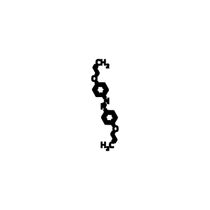 C=CCOc1ccc(N=Nc2ccc(OCC=C)cc2)cc1